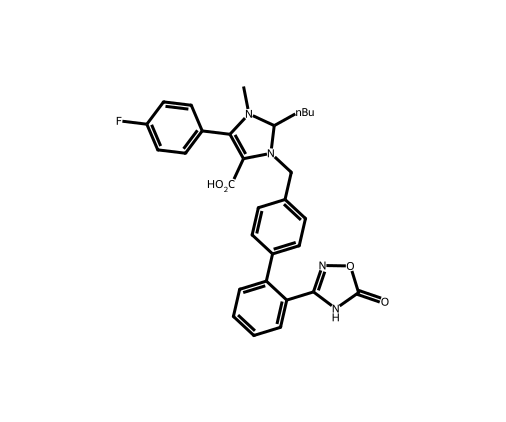 CCCCC1N(C)C(c2ccc(F)cc2)=C(C(=O)O)N1Cc1ccc(-c2ccccc2-c2noc(=O)[nH]2)cc1